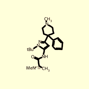 CN[C@@H](C)C(=O)Nc1cc(C2(c3ccccc3)CCN(C)CC2)nn1C(C)(C)C